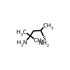 CC(CC(C)(C)N)SN